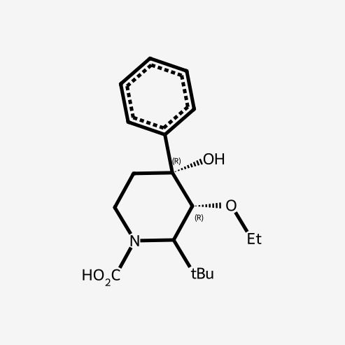 CCO[C@@H]1C(C(C)(C)C)N(C(=O)O)CC[C@@]1(O)c1ccccc1